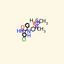 CN(C)CC(=O)N(C)[C@H]1CC[C@@H](NC(=C2C(=O)Nc3cc(Cl)ccc32)c2ccccc2)CC1